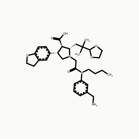 CCCCN(C(=O)CN1C[C@H](c2ccc3c(c2)CCO3)[C@@H](C(=O)O)[C@@H]1CC(C)(C)C1OCCO1)c1cccc(CN)c1